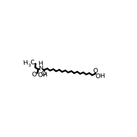 CCCC(NC(=O)CCCCCCCCCCCCCCCCC(=O)O)C(=O)O